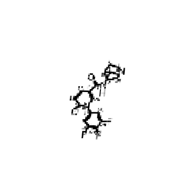 O=C(NC1CN2CCC1CC2)c1ccc(=O)n(-c2cc(F)c(F)c(F)c2)c1